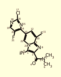 CC(C)c1c(C(=O)N(C)C)nc2c(F)cc(-c3nc(Cl)ncc3F)cn12